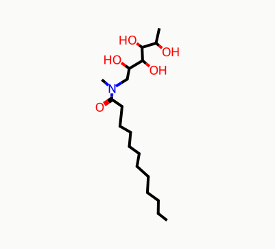 CCCCCCCCCCCC(=O)N(C)CC(O)C(O)C(O)C(C)O